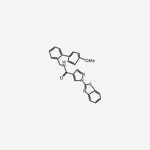 COc1ccc(-c2ccccc2CNC(=O)c2cnn(-c3nc4ccccc4s3)c2)cc1